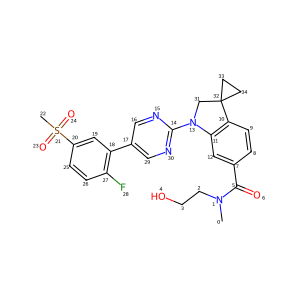 CN(CCO)C(=O)c1ccc2c(c1)N(c1ncc(-c3cc(S(C)(=O)=O)ccc3F)cn1)CC21CC1